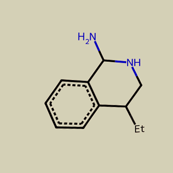 CCC1CNC(N)c2ccccc21